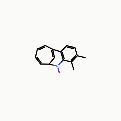 Cc1ccc2c(c1C)N(I)C1C=CC=CC2=C1